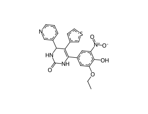 CCOc1cc(C2=C(c3ccsc3)C(c3cccnc3)NC(=O)N2)cc([N+](=O)[O-])c1O